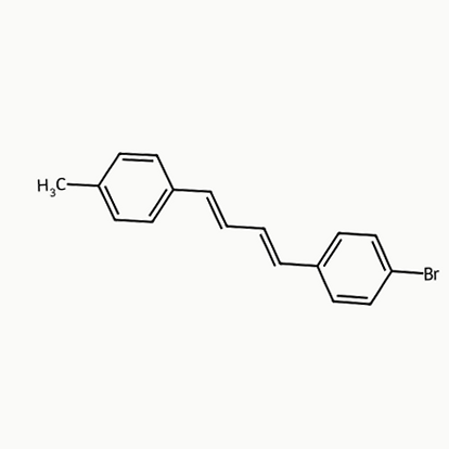 Cc1ccc(/C=C/C=C/c2ccc(Br)cc2)cc1